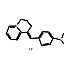 CN(C)c1ccc(C=C2CCC[n+]3ccccc32)cc1.[Cl-]